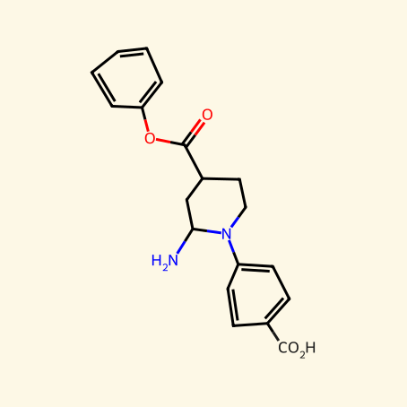 NC1CC(C(=O)Oc2ccccc2)CCN1c1ccc(C(=O)O)cc1